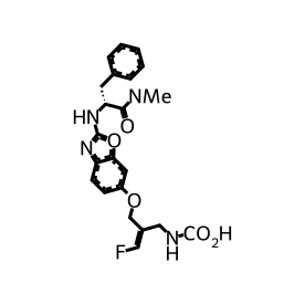 CNC(=O)[C@@H](Cc1ccccc1)Nc1nc2ccc(OC/C(=C\F)CNC(=O)O)cc2o1